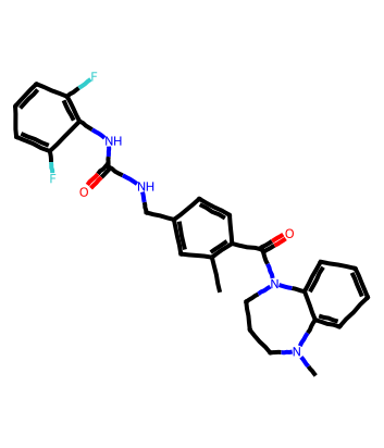 Cc1cc(CNC(=O)Nc2c(F)cccc2F)ccc1C(=O)N1CCCN(C)c2ccccc21